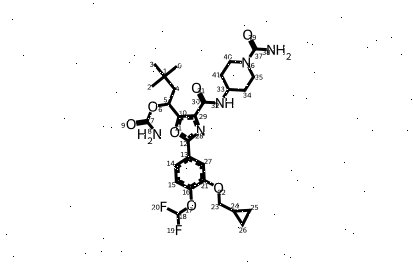 CC(C)(C)CC(OC(N)=O)c1oc(-c2ccc(OC(F)F)c(OCC3CC3)c2)nc1C(=O)NC1CCN(C(N)=O)CC1